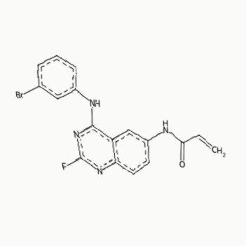 C=CC(=O)Nc1ccc2nc(F)nc(Nc3cccc(Br)c3)c2c1